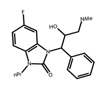 CCCn1c(=O)n(C(c2ccccc2)C(O)CNC)c2cc(F)ccc21